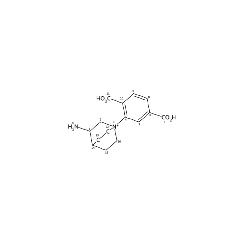 NC1C[N+]2(c3cc(C(=O)O)ccc3C(=O)O)CCC1CC2